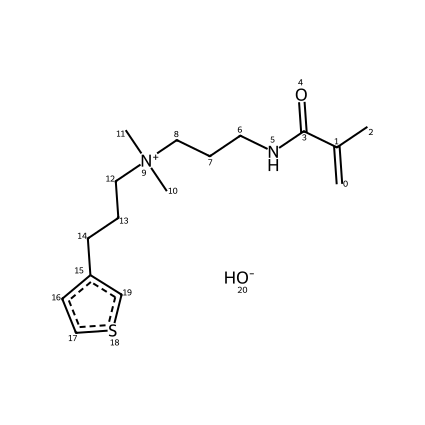 C=C(C)C(=O)NCCC[N+](C)(C)CCCc1ccsc1.[OH-]